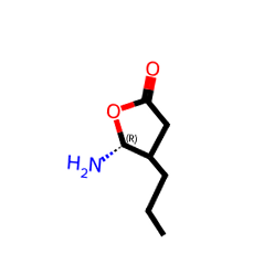 CCCC1CC(=O)O[C@H]1N